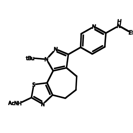 CCNc1ccc(-c2nn(C(C)(C)C)c3c2CCCc2nc(NC(C)=O)sc2-3)cn1